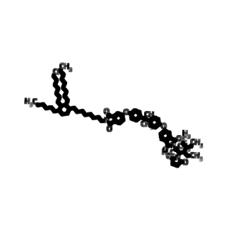 CCCCCCCCCC1C(CCCCCCCCN2C(=O)c3ccc(Oc4ccc(C(C)(C)c5ccc(Oc6ccc7c(c6)C(=O)N(C(C)(C)C(C(CC)C(CC)CC)N6C(=O)C=CC6=O)C7=O)cc5)cc4)cc3C2=O)CCC(CCCCCC)C1CCCCCCCC